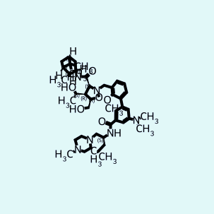 COc1c(CN2O[C@@H](CO)[C@@H]([C@H](C)O)[C@H]2C(=O)N[C@H]2C[C@H]3C[C@@H]([C@@H]2C)C3(C)C)cccc1-c1cc(C(=O)N[C@@H](CC(C)C)CN2CCN(C)CC2)cc(N(C)C)c1